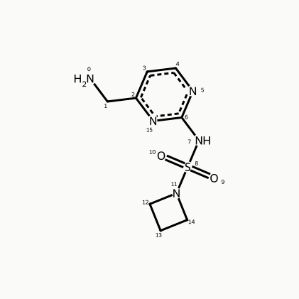 NCc1ccnc(NS(=O)(=O)N2CCC2)n1